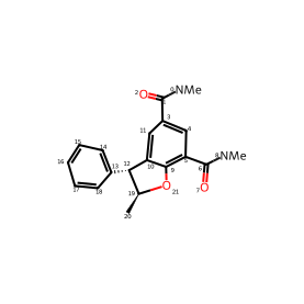 CNC(=O)c1cc(C(=O)NC)c2c(c1)[C@@H](c1ccccc1)[C@H](C)O2